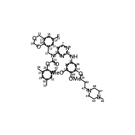 COc1cc(Nc2nccc(N(Cc3cc(F)cc4c3OCOC4)C(=O)Oc3c(C)cc(C)cc3C)n2)cc(OCCCN2CCN(C)CC2)c1OC